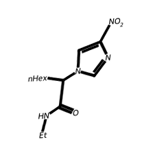 CCCCCCC(C(=O)NCC)n1cnc([N+](=O)[O-])c1